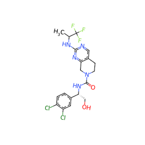 CC(Nc1ncc2c(n1)CN(C(=O)N[C@H](CO)c1ccc(Cl)c(Cl)c1)CC2)C(F)(F)F